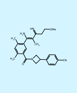 COCCC(=N)/C(C)=C(\N)c1cc(C(=O)N2CC(c3ccc(C#N)cc3)C2)c(C)cc1C